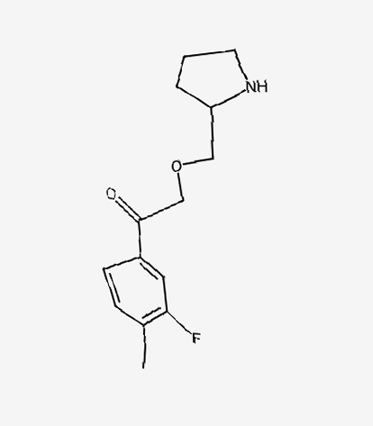 Cc1ccc(C(=O)COCC2CCCN2)cc1F